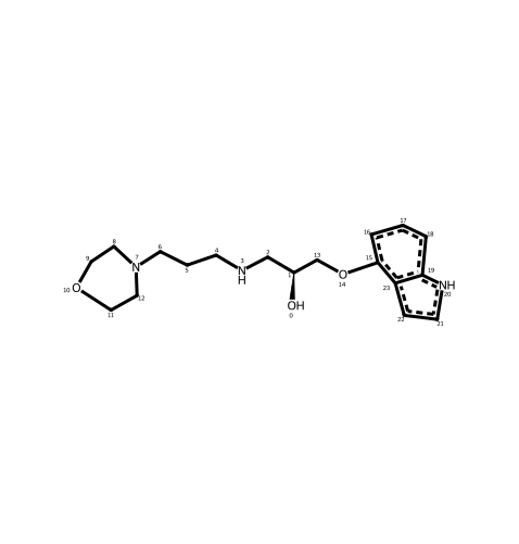 O[C@@H](CNCCCN1CCOCC1)COc1cccc2[nH]ccc12